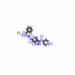 C[C@@H](NC(=O)Nc1cc2[nH]nc(NC3CCNCC3)c2cn1)c1ccccc1